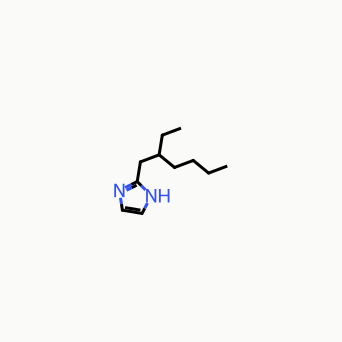 CCCCC(CC)Cc1ncc[nH]1